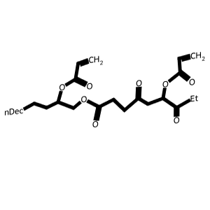 C=CC(=O)OC(CCCCCCCCCCCC)COC(=O)CCC(=O)CC(OC(=O)C=C)C(=O)CC